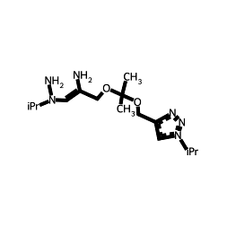 CC(C)N(N)/C=C(\N)COC(C)(C)OCc1cn(C(C)C)nn1